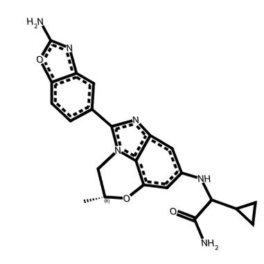 C[C@@H]1Cn2c(-c3ccc4oc(N)nc4c3)nc3cc(NC(C(N)=O)C4CC4)cc(c32)O1